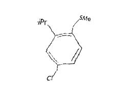 CSc1ccc(Cl)cc1[C](C)C